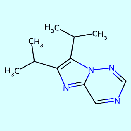 CC(C)c1nc2cncnn2c1C(C)C